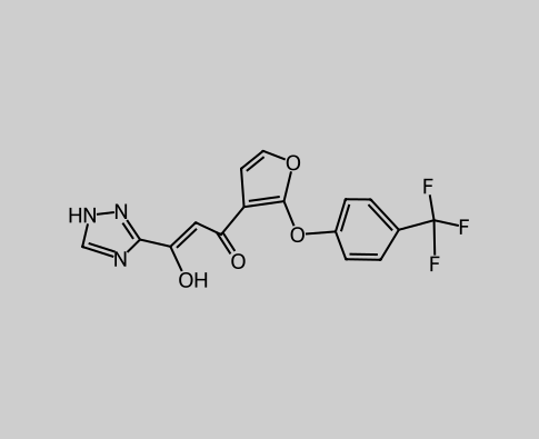 O=C(C=C(O)c1nc[nH]n1)c1ccoc1Oc1ccc(C(F)(F)F)cc1